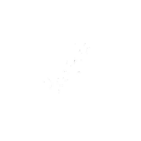 CCCCNC(=O)c1cc(C[C@@H]2CS(=O)(=O)C[C@H](NCc3cccc(C(C)(C)C)c3)[C@H]2O)ccc1N